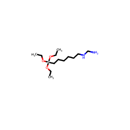 CCO[Si](CCCCCCNCN)(OCC)OCC